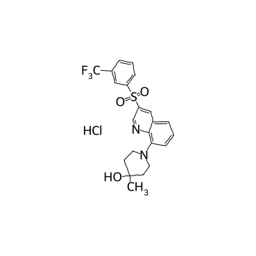 CC1(O)CCN(c2cccc3cc(S(=O)(=O)c4cccc(C(F)(F)F)c4)cnc23)CC1.Cl